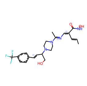 CC=C/C(=C\N=C(/C)N1CCN(C(/C=C/c2ccc(C(F)(F)F)cc2)CO)CC1)C(=O)NO